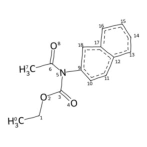 CCOC(=O)N(C(C)=O)c1ccc2ccccc2c1